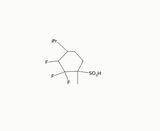 CC(C)C1CCC(C)(S(=O)(=O)O)C(F)(F)C1F